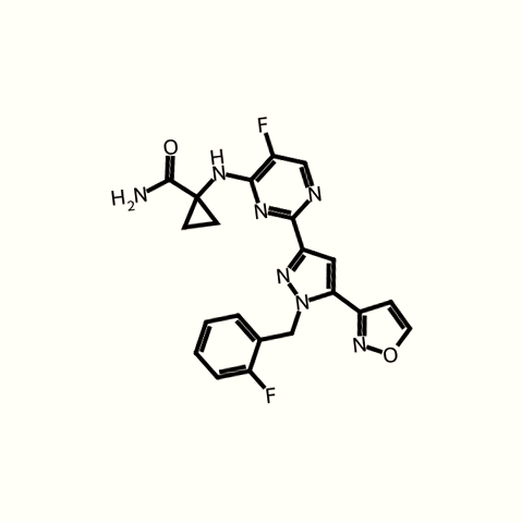 NC(=O)C1(Nc2nc(-c3cc(-c4ccon4)n(Cc4ccccc4F)n3)ncc2F)CC1